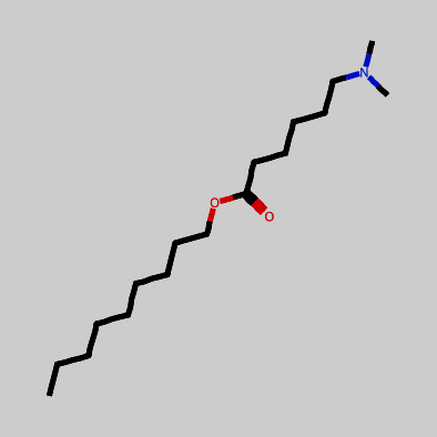 CCCCCCCCCOC(=O)CCCCCN(C)C